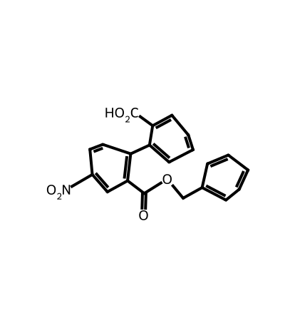 O=C(O)c1ccccc1-c1ccc([N+](=O)[O-])cc1C(=O)OCc1ccccc1